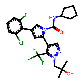 CC(C)(O)Cn1ncc(-c2cc(-c3c(F)cccc3Cl)cn2C(=O)NC2CCCC2)c1C(F)(F)F